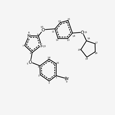 Brc1ccc(Oc2cnc(Oc3ccc(OC4CCCC4)cc3)s2)cc1